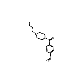 CCCCN1CCN(C(=O)c2ccc(C=O)cc2)CC1